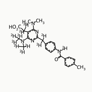 [2H]N(C(=O)c1ccc(C)cc1)c1ccc(C([2H])([2H])c2nc(N(C)C)c(C([2H])([2H])C(=O)O)c(N(C([2H])([2H])[2H])C([2H])([2H])[2H])n2)cc1